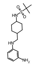 CC(C)(C)S(=O)(=O)NC1CCC(CNc2cccc(N)c2)CC1